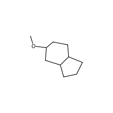 COC1CCC2CCCC2C1